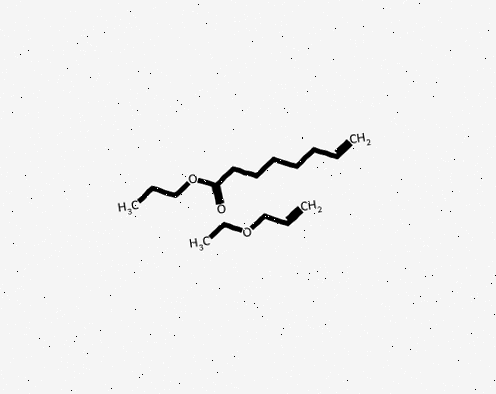 C=CCCCCCC(=O)OCCC.C=CCOCC